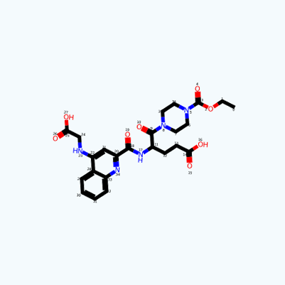 CCOC(=O)N1CCN(C(=O)C(CCC(=O)O)NC(=O)c2cc(NCC(=O)O)c3ccccc3n2)CC1